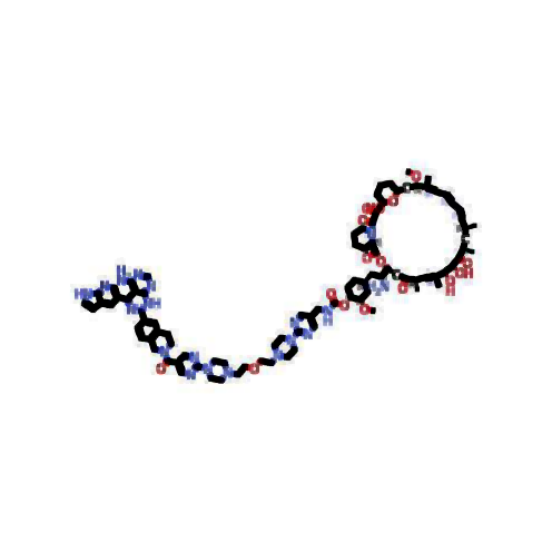 CO[C@H]1CC2CCC[C@@](O)(O2)C(=O)C(=O)N2CCCC[C@H]2C(=O)O[C@H]([C@H](N)C[C@@H]2CC[C@@H](OC(=O)NCc3cnc(N4CCN(CCOCCN5CCN(c6ncc(C(=O)N7CCc8cc(CNc9ncnc(N)c9C(=N)c9cnc%10[nH]ccc%10c9)ccc8C7)cn6)CC5)CC4)nc3)[C@H](OC)C2)CC(=O)[C@H](C)/C=C(\C)[C@@H](O)[C@@H](O)C(=O)[C@H](C)C[C@H](C)/C=C/C=C/C=C/1C